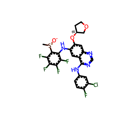 C[S+]([O-])c1c(F)c(F)c(F)c(F)c1Nc1cc2c(Nc3ccc(F)c(Cl)c3)ncnc2cc1O[C@H]1CCOC1